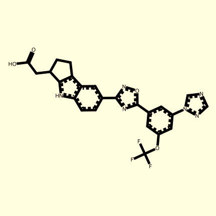 O=C(O)CC1CCc2c1[nH]c1ccc(-c3noc(-c4cc(OC(F)(F)F)cc(-n5cncn5)c4)n3)cc21